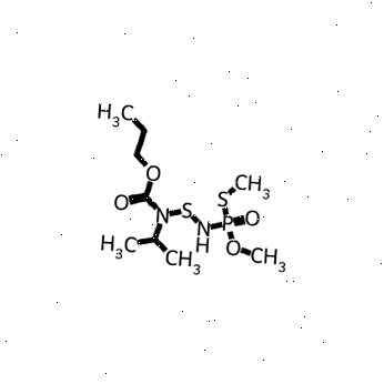 CCCOC(=O)N(SNP(=O)(OC)SC)C(C)C